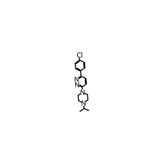 CC(C)N1CCN(c2ccc(-c3ccc(Cl)cc3)nn2)CC1